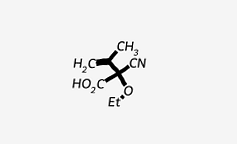 C=C(C)C(C#N)(OCC)C(=O)O